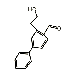 O=Cc1ccc(-c2ccccc2)cc1CCO